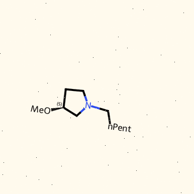 CCCCCCN1CC[C@H](OC)C1